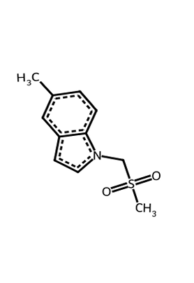 Cc1ccc2c(ccn2CS(C)(=O)=O)c1